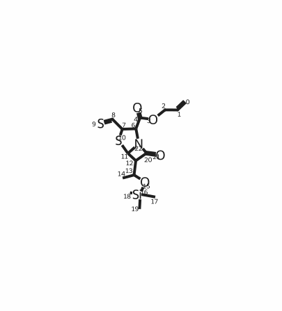 C=CCOC(=O)C1C(C=S)SC2C(C(C)O[Si](C)(C)C)C(=O)N21